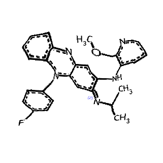 COc1ncccc1Nc1cc2nc3ccccc3n(-c3ccc(F)cc3)c-2c/c1=N/C(C)C